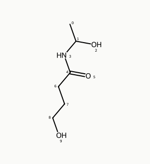 CC(O)NC(=O)CCCO